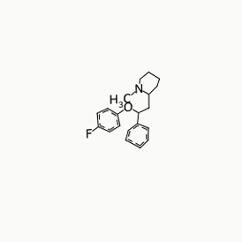 CN1CCCCC1CC(Oc1ccc(F)cc1)c1ccccc1